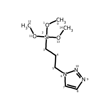 CO[Si](CCCn1ccnn1)(OC)OC